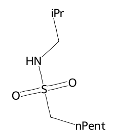 CCCCCCS(=O)(=O)NCC(C)C